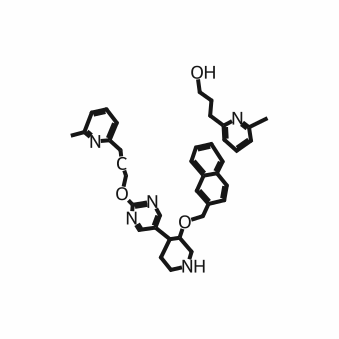 Cc1cccc(CCCO)n1.Cc1cccc(CCCOc2ncc(C3CCNCC3OCc3ccc4ccccc4c3)cn2)n1